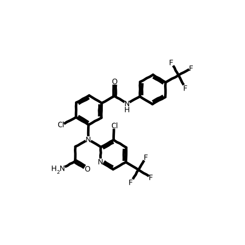 NC(=O)CN(c1cc(C(=O)Nc2ccc(C(F)(F)F)cc2)ccc1Cl)c1ncc(C(F)(F)F)cc1Cl